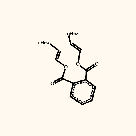 CCCCCCC=COC(=O)c1ccccc1C(=O)OC=CCCCCCC